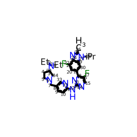 CCN(CC)[C@H]1CCN(Cc2ccc(Nc3ncc(F)c(-c4cc(F)c5nc(C)n(C(C)C)c5c4)n3)nc2)C1